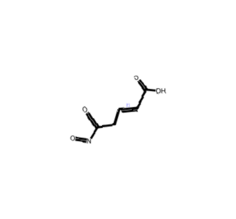 O=NC(=O)C/C=C/C(=O)O